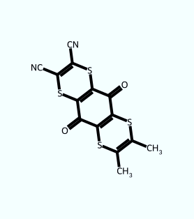 Cc1sc2c(=O)c3sc(C#N)c(C#N)sc3c(=O)c2sc1C